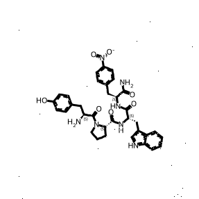 NC(=O)[C@H](Cc1ccc([N+](=O)[O-])cc1)NC(=O)[C@H](Cc1c[nH]c2ccccc12)NC(=O)[C@@H]1CCCN1C(=O)[C@@H](N)Cc1ccc(O)cc1